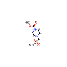 COS(=O)(=O)CN1CCN(C(=O)OC(C)(C)C)CC1